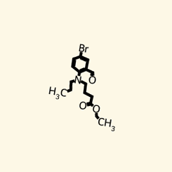 CCCN(CCCC(=O)OCC)c1ccc(Br)cc1C=O